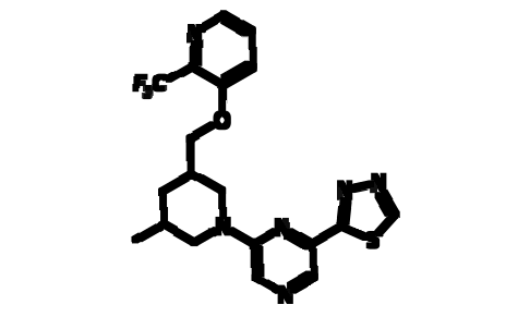 CC1CC(COc2cccnc2C(F)(F)F)CN(c2cncc(-c3nncs3)n2)C1